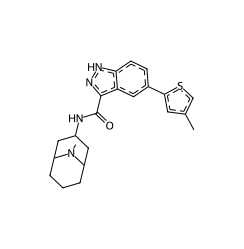 Cc1csc(-c2ccc3[nH]nc(C(=O)NC4CC5CCCC(C4)N5C)c3c2)c1